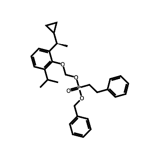 CC(C)c1cccc([C@H](C)C2CC2)c1OCOP(=O)(CCc1ccccc1)OCc1ccccc1